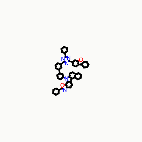 c1ccc(-c2nc(-c3cccc(-c4cccc(-n5c6ccc7ccccc7c6c6ccc7nc(-c8ccccc8)oc7c65)c4)c3)nc(-c3ccc4c(c3)oc3ccccc34)n2)cc1